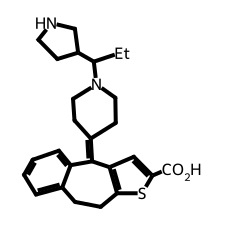 CCC(C1CCNC1)N1CCC(=C2c3ccccc3CCc3sc(C(=O)O)cc32)CC1